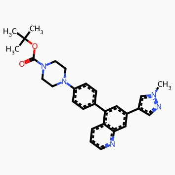 Cn1cc(-c2cc(-c3ccc(N4CCN(C(=O)OC(C)(C)C)CC4)cc3)c3cccnc3c2)cn1